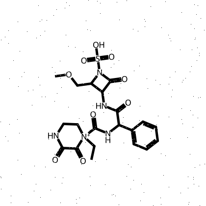 CC[N+]1(C(=O)NC(C(=O)NC2C(=O)N(S(=O)(=O)O)C2COC)c2ccccc2)CCNC(=O)C1=O